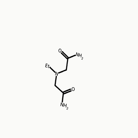 CCN(CC(N)=O)CC(N)=O